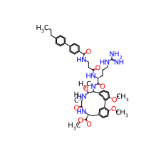 CCCc1ccc(-c2ccc(C(=O)NCCC(=O)N[C@@H](CCCNC(=N)N)C(=O)N(C)[C@@H]3C(=O)N[C@@H](C)C(=O)N[C@H](C(=O)OC)Cc4ccc(OC)c(c4)-c4cc3ccc4OC)cc2)cc1